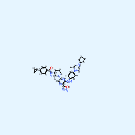 CC1CN(C2CCCC2)CCN1c1ccc(Nc2nc(N3CCC[C@@H](NC(=O)c4ccc(C5CC5)cc4)[C@H]3C)cnc2C(N)=O)cc1